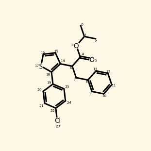 CC(C)OC(=O)C(Cc1ccccc1)c1ccsc1-c1ccc(Cl)cc1